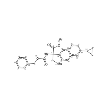 CC(C)OC(=O)C(CC(C)(C)C)(NC(=O)OCc1ccccc1)c1ccc2nc(C3CC3)ccc2c1